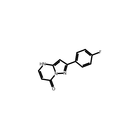 O=c1cc[nH]c2cc(-c3ccc(F)cc3)nn12